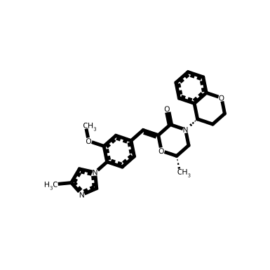 COc1cc(/C=C2\O[C@@H](C)CN([C@H]3CCOc4ccccc43)C2=O)ccc1-n1cnc(C)c1